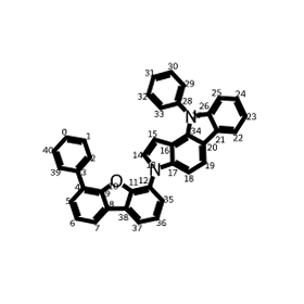 c1ccc(-c2cccc3c2oc2c(-n4ccc5c4ccc4c6ccccc6n(-c6ccccc6)c45)cccc23)cc1